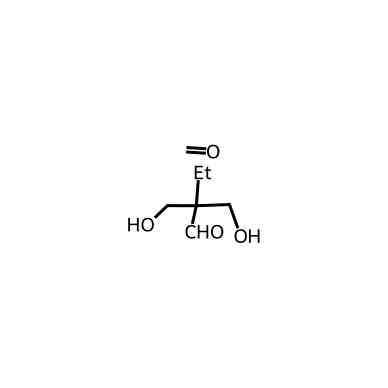 C=O.CCC(C=O)(CO)CO